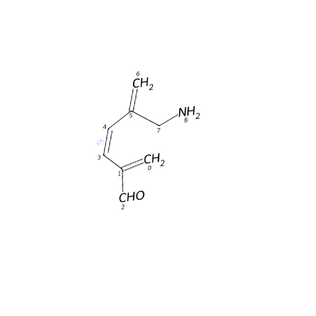 C=C(C=O)/C=C\C(=C)CN